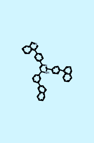 C1=C(c2ccc(-c3cncc4ccccc34)cc2)N=C(c2ccc(-c3cccc4ccccc34)cc2)NC1c1cccc(-c2ccc3ccccc3c2)c1